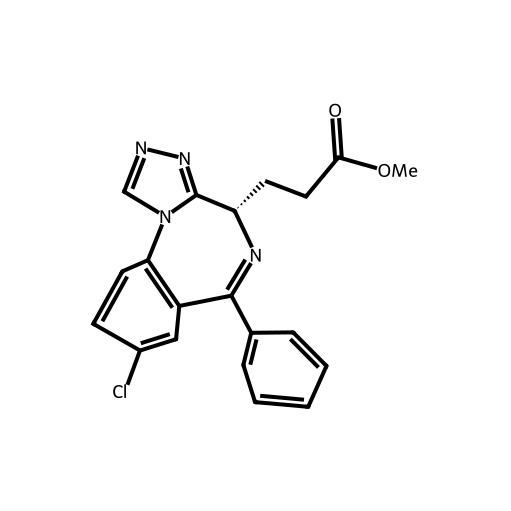 COC(=O)CC[C@@H]1N=C(c2ccccc2)c2cc(Cl)ccc2-n2cnnc21